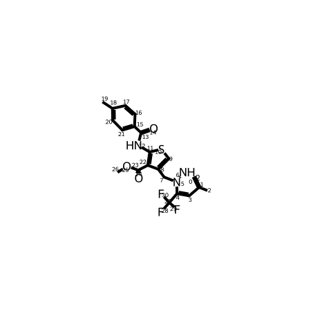 C=C(C)/C=C(\N(N)Cc1csc(NC(=O)c2ccc(C)cc2)c1C(=O)OC)C(F)(F)F